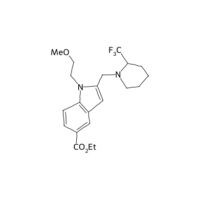 CCOC(=O)c1ccc2c(c1)cc(CN1CCCCC1C(F)(F)F)n2CCOC